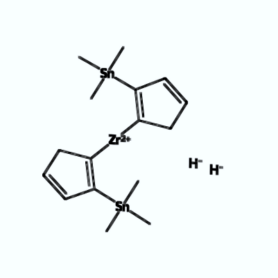 [CH3][Sn]([CH3])([CH3])[C]1=[C]([Zr+2][C]2=[C]([Sn]([CH3])([CH3])[CH3])C=CC2)CC=C1.[H-].[H-]